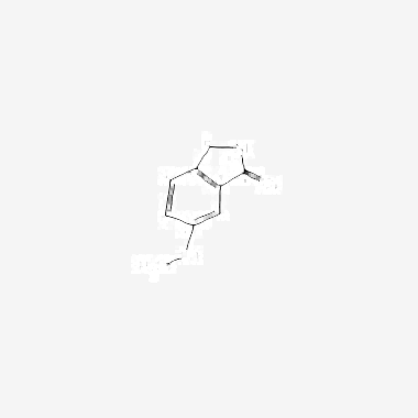 CPc1ccc2c(c1)C(=O)NC2